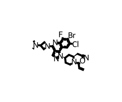 C=CC(=O)N1CC[C@H](n2ncc3c(N4CC(N(C)C)C4)nc4c(F)c(Br)c(Cl)cc4c32)C[C@H]1CC#N